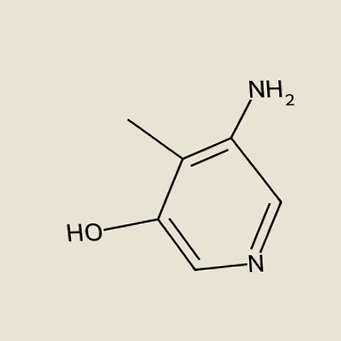 Cc1c(N)cncc1O